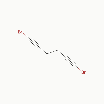 BrC#CCCC#CBr